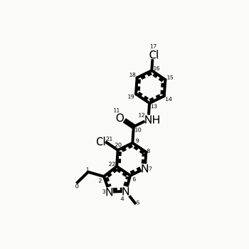 CCc1nn(C)c2ncc(C(=O)Nc3ccc(Cl)cc3)c(Cl)c12